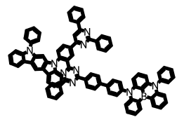 c1ccc(-c2cc(-c3ccc(-n4c5ccccc5c5cc6c7ccccc7n(-c7ccccc7)c6cc54)c(-c4nc(-c5ccccc5)nc(-c5ccc(-c6ccc(N7c8ccccc8B8c9ccccc9N(c9ccccc9)c9cccc7c98)cc6)cc5)n4)c3)nc(-c3ccccc3)n2)cc1